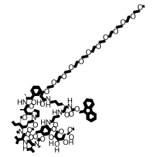 CC[C@H](C)[C@@H]([C@@H](CC(=O)N1CCC[C@H]1[C@H](OC)[C@@H](C)C(=O)N[C@H](C)[C@@H](O)c1ccccc1)OC)N(C)C(=O)[C@@H](NC(=O)[C@H](C(C)C)N(C)C(=O)OCc1ccc(O[C@@H]2O[C@H](C(=O)OC)[C@@H](O)[C@H](O)[C@H]2O)c(NC(=O)CCNC(=O)[C@H](CCCCNC(=O)CCOCCOCCOCCOCCOCCOCCOCCOCCOCCOCCOCCOC)NC(=O)OCC2c3ccccc3-c3ccccc32)c1)C(C)C